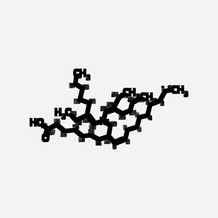 CCCCCCCC/C=C\C(CCCCCCC(=O)O)CN(/C=C(/CC)CCCC)/C=C(/CC)CCCCC